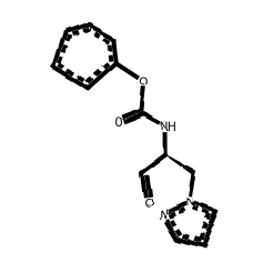 O=C[C@H](Cn1cccn1)NC(=O)Oc1ccccc1